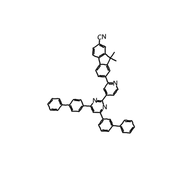 CC1(C)c2cc(C#N)ccc2-c2ccc(-c3cc(-c4nc(-c5ccc(-c6ccccc6)cc5)cc(-c5cccc(-c6ccccc6)c5)n4)ccn3)cc21